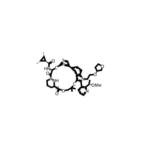 CO[C@@H](C)c1ncccc1-c1c2c3cc(ccc3n1CCO[C@H]1CCOC1)-c1csc(n1)C[C@H](NC(=O)[C@H]1[C@H](C)[C@@H]1C)C(=O)N1CCC[C@H](N1)C(=O)OCC(C)(C)C2